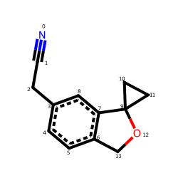 N#CCc1ccc2c(c1)C1(CC1)OC2